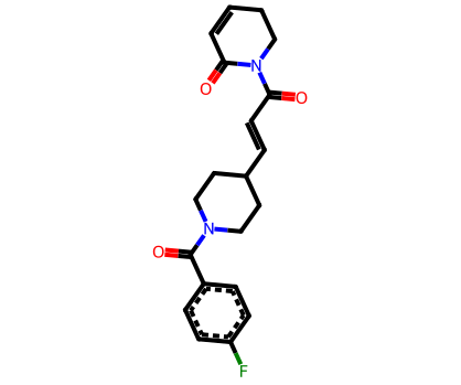 O=C(c1ccc(F)cc1)N1CCC(/C=C/C(=O)N2CCC=CC2=O)CC1